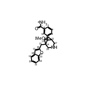 COC1(c2cccc(C(N)=O)c2)C2CCC1(Cc1cc3ccccc3o1)CNC2